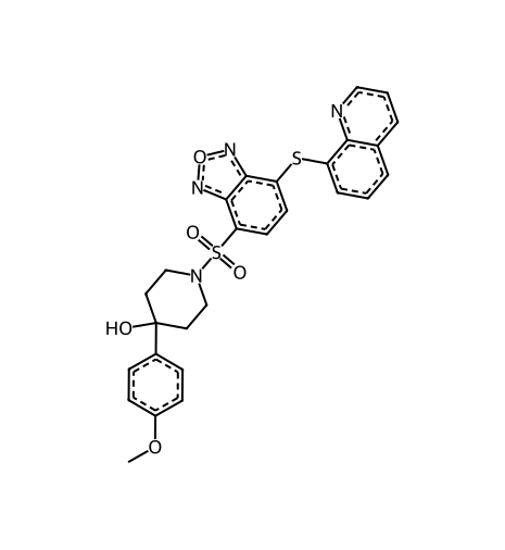 COc1ccc(C2(O)CCN(S(=O)(=O)c3ccc(Sc4cccc5cccnc45)c4nonc34)CC2)cc1